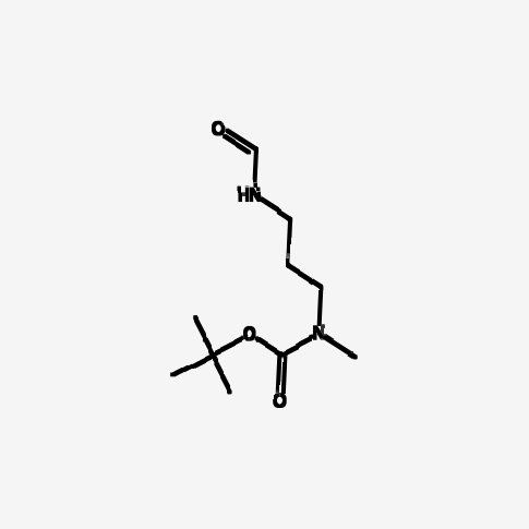 CN(CCCNC=O)C(=O)OC(C)(C)C